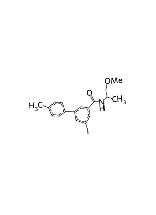 COCC(C)NC(=O)c1cc(I)cc(-c2ccc(C)cc2)c1